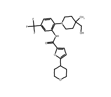 CC1(CO)CCN(c2ccc(C(F)(F)F)cc2NC(=O)c2ccc(C3CCOCC3)o2)CC1